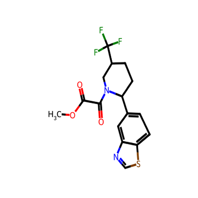 COC(=O)C(=O)N1CC(C(F)(F)F)CCC1c1ccc2scnc2c1